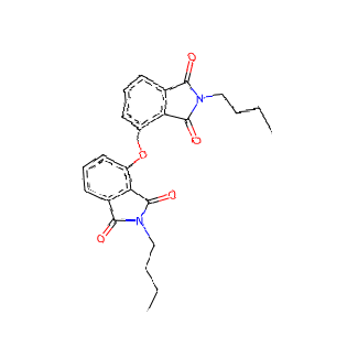 CCCCN1C(=O)c2cccc(Oc3cccc4c3C(=O)N(CCCC)C4=O)c2C1=O